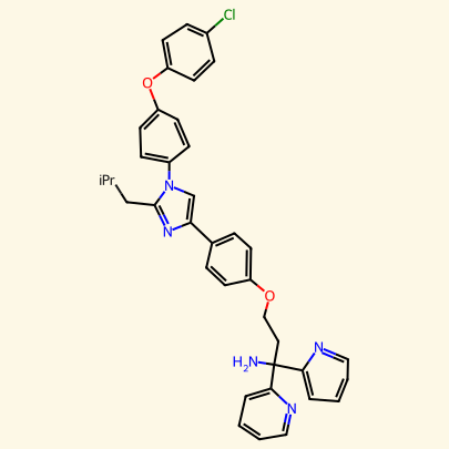 CC(C)Cc1nc(-c2ccc(OCCC(N)(c3ccccn3)c3ccccn3)cc2)cn1-c1ccc(Oc2ccc(Cl)cc2)cc1